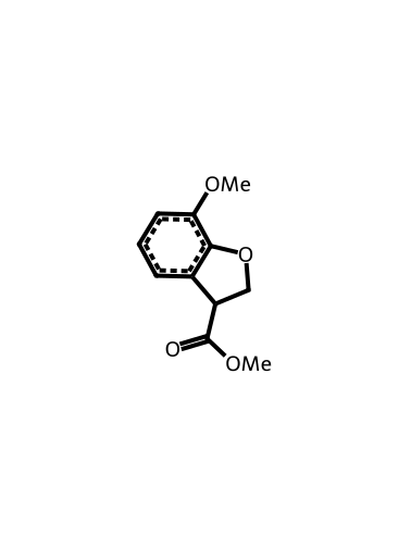 COC(=O)C1COc2c(OC)cccc21